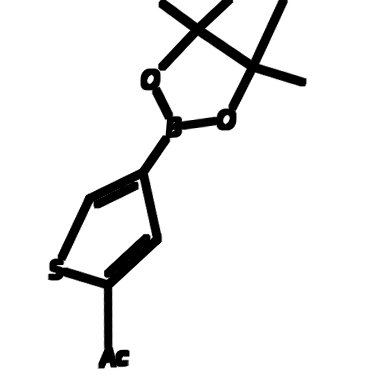 CC(=O)c1cc(B2OC(C)(C)C(C)(C)O2)cs1